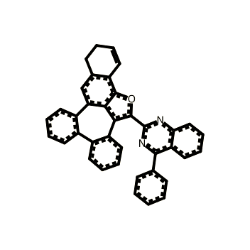 C1=Cc2c(cc3c4c(c(-c5nc(-c6ccccc6)c6ccccc6n5)oc24)-c2ccccc2-c2ccccc2-3)CC1